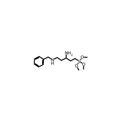 CO[Si](CCC(N)CCNCc1ccccc1)(OC)OC